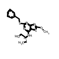 CC[C@H](CO)Nc1nc(SCc2ccccc2)nc2nc(OC)sc12